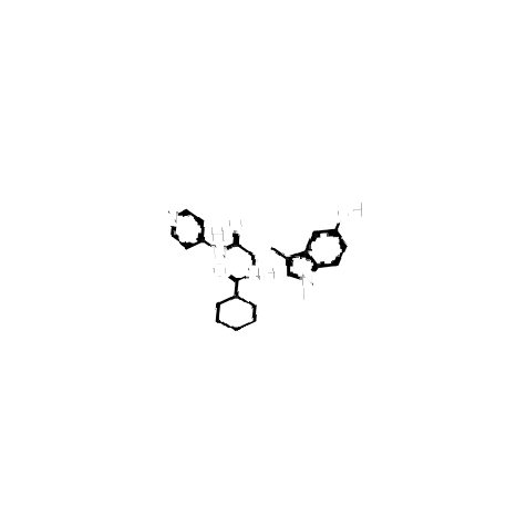 O=C(N[C@@H](Cc1c[nH]c2ccc(O)cc12)C(=O)Nc1ccncc1)C1CCCCC1